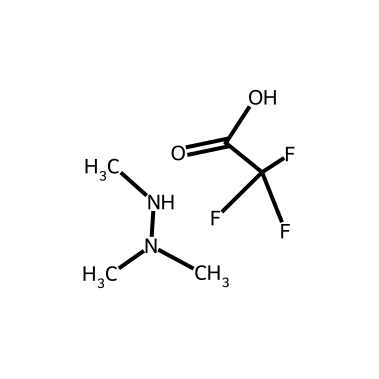 CNN(C)C.O=C(O)C(F)(F)F